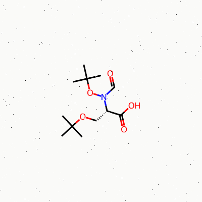 CC(C)(C)OC[C@@H](C(=O)O)N(C=O)OC(C)(C)C